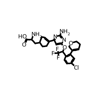 Nc1nc(OC(c2ccc(Cl)cc2C2=CCCOC2)C(F)(F)F)cc(C2=CCC(CC(N)C(=O)O)CC2)n1